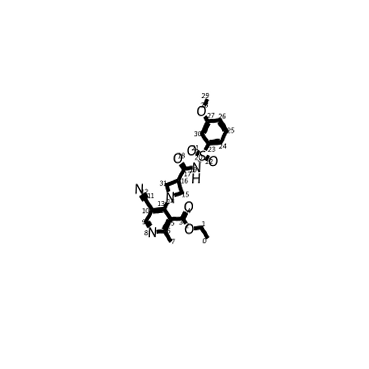 CCOC(=O)c1c(C)ncc(C#N)c1N1CC(C(=O)NS(=O)(=O)c2cccc(OC)c2)C1